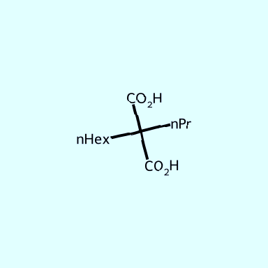 CCCCCCC(CCC)(C(=O)O)C(=O)O